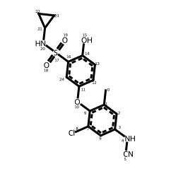 Cc1cc(NC#N)cc(Cl)c1Oc1ccc(O)c(S(=O)(=O)NC2CC2)c1